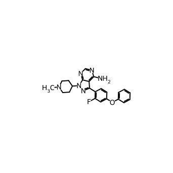 CN1CCC(n2nc(-c3ccc(Oc4ccccc4)cc3F)c3c(N)ncnc32)CC1